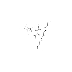 CCCCCCCCCCC[CH2][Na].O=CC(O)C(O)C(O)C(O)CO.O=S(=O)(O)O.OCCO